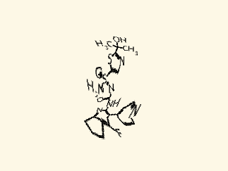 CC(C)(O)c1ncc(S(N)(=O)=NC(=O)Nc2nc3c(c(F)c2-c2ccncc2)CCC3)s1